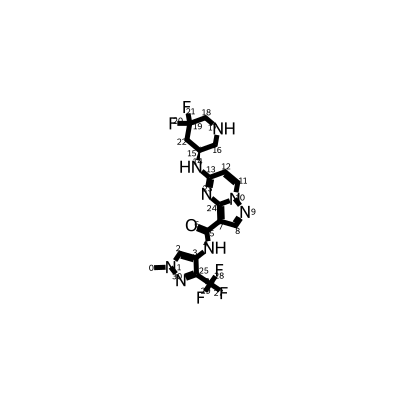 Cn1cc(NC(=O)c2cnn3ccc(N[C@@H]4CNCC(F)(F)C4)nc23)c(C(F)(F)F)n1